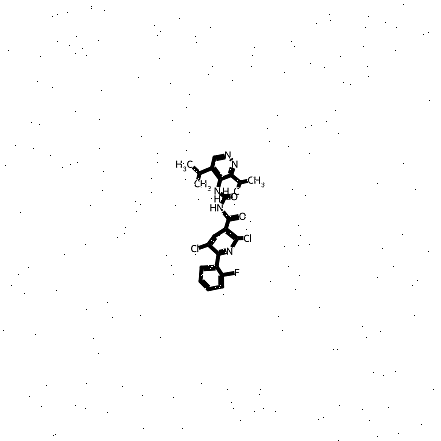 CC(C)c1cnnc(C(C)C)c1NC(=O)NC(=O)c1cc(Cl)c(-c2ccccc2F)nc1Cl